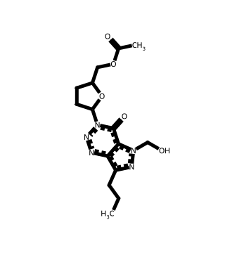 CCCc1nn(CO)c2c(=O)n(C3[CH][CH]C(COC(C)=O)O3)nnc12